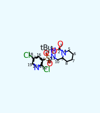 CC(C)(C)OC(=O)N1CCCCC1CNS(=O)(=O)c1cc(Cl)cnc1Cl